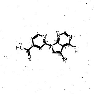 O=C(O)c1ccnc(-n2cc(Br)c3c(F)ncnc32)c1